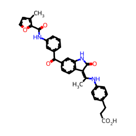 C/C(Nc1ccc(CCC(=O)O)cc1)=C1/C(=O)Nc2cc(C(=O)c3cccc(NC(=O)c4occc4C)c3)ccc21